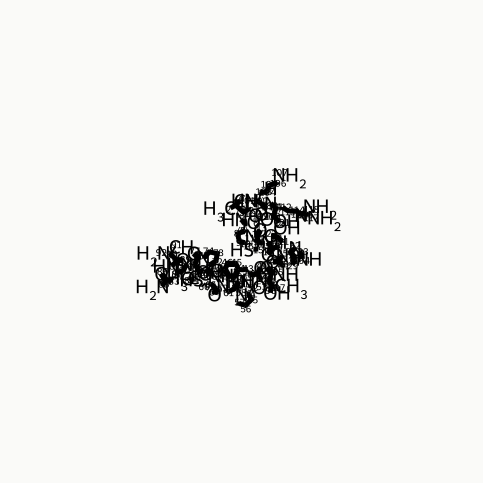 CC(C)[C@H](NC(=O)[C@@H]1CCCN1C(=O)[C@H](CS)NC(=O)[C@H](CC(=O)O)NC(=O)[C@H](Cc1cnc[nH]1)NC(=O)[C@@H](NC(=O)[C@H](Cc1ccc(O)cc1)NC(=O)[C@@H]1CCCN1C(=O)CNC(=O)[C@H](CS)NC(=O)[C@@H]1CCCN1C(=O)[C@@H](NC(=O)[C@H](CC(N)=O)NC(=O)[C@H](C)N)[C@@H](C)O)[C@@H](C)O)C(=O)N[C@@H](CCCCN)C(=O)N[C@@H](CCCN=C(N)N)C(=O)O